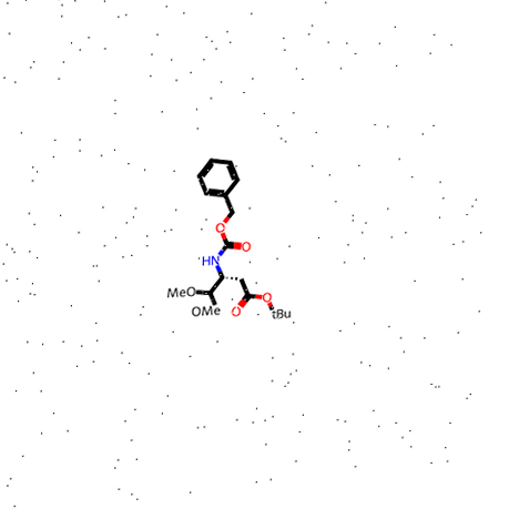 COC(OC)[C@@H](CC(=O)OC(C)(C)C)NC(=O)OCc1ccccc1